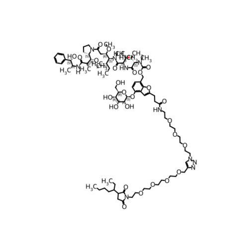 CCCCC(CC)C1CC(=O)N(CCOCCOCCOCCOCc2cn(CCOCCOCCOCCNC(=O)CCc3cc4c(O[C@@H]5O[C@H](CO)[C@H](O)[C@H](O)[C@H]5O)ccc(COC(=O)N(C)[C@H](C(=O)N[C@H](C(=O)N(C)[C@@H]([C@@H](C)CC)[C@@H](CC(=O)N5CCC[C@H]5[C@H](OC)[C@@H](C)C(=O)N[C@H](C)[C@@H](O)c5ccccc5)OC)C(C)C)C(C)C)c4o3)nn2)C1=O